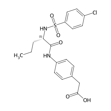 CCC[C@H](NS(=O)(=O)c1ccc(Cl)cc1)C(=O)Nc1ccc(CC(=O)O)cc1